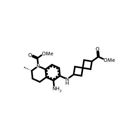 COC(=O)C1CC2(CC(Nc3ccc4c(c3N)CC[C@H](C)N4C(=O)OC)C2)C1